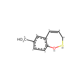 O=C(O)c1ccc2c(c1)C=CCSO2